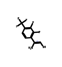 N/C(=C\S)c1ccc(C(F)(F)F)c(F)c1F